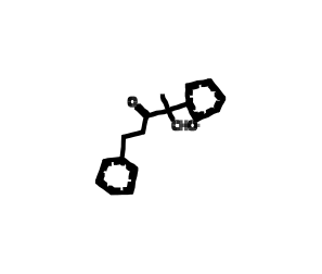 CC([C]=O)(C(=O)CCc1ccccc1)c1ccccc1